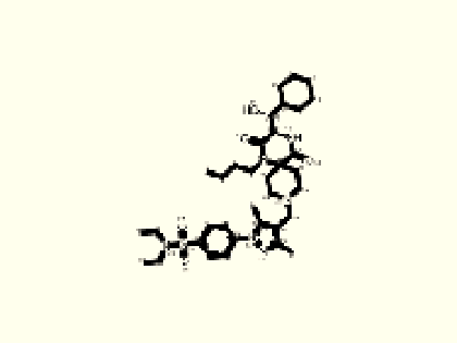 CCCCN1C(=O)[C@@H]([C@H](O)C2CCCCC2)NC(=O)C12CCN(Cc1c(C)nn(-c3ccc(S(=O)(=O)N(CC)CC)cc3)c1C)CC2